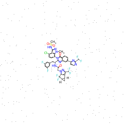 Cn1nc(NS(C)(=O)=O)c2c(Cl)ccc(-n3c([C@H](Cc4cc(F)cc(F)c4)NC(=O)Cn4nc(C(F)F)c5c4C(F)(F)[C@@H]4C[C@H]54)nc4cc(-c5ccnc(C(F)F)n5)ccc4c3=O)c21